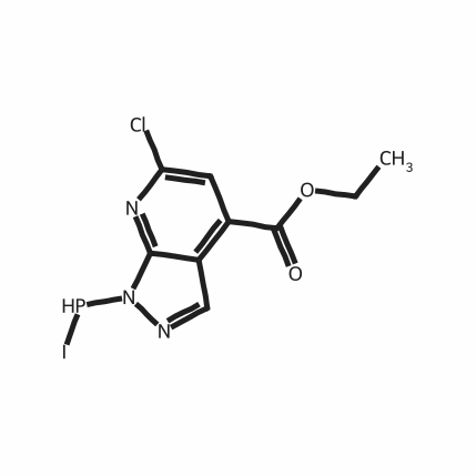 CCOC(=O)c1cc(Cl)nc2c1cnn2PI